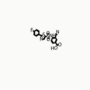 N#Cc1cc(C(=O)O)ccc1NS(=O)(=O)c1cnc(-c2ccc(F)cc2)s1